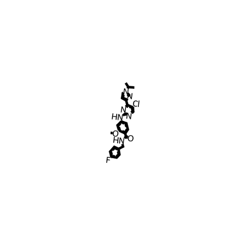 COc1cc(Nc2ncc(Cl)c(-c3ccn(C(C)C)n3)n2)ccc1C(=O)NCc1ccc(F)cc1